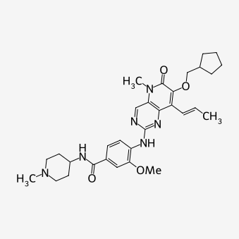 CC=Cc1c(OCC2CCCC2)c(=O)n(C)c2cnc(Nc3ccc(C(=O)NC4CCN(C)CC4)cc3OC)nc12